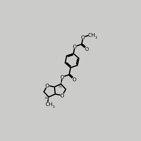 COC(=O)Oc1ccc(C(=O)O[C@H]2COC3C2OC[C@@H]3C)cc1